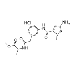 COC(=O)C(C)NC(=O)Cc1cccc(NC(=O)c2cc(N)cn2C)c1.Cl